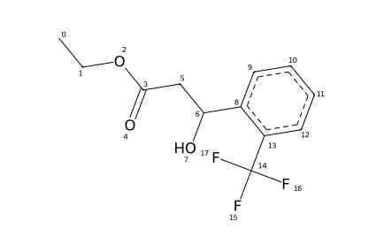 CCOC(=O)CC(O)c1ccccc1C(F)(F)F